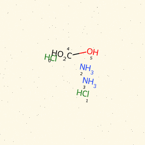 Cl.Cl.N.N.O=C(O)O